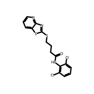 O=C(CCCSc1nc2ncccc2s1)Nc1c(Cl)cccc1Cl